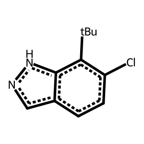 CC(C)(C)c1c(Cl)ccc2cn[nH]c12